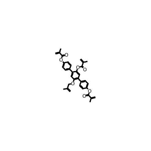 C=C(C)COc1cc(-c2ccc(OC(=O)C(=C)C)cc2)c(OC(=O)C(=C)C)cc1-c1ccc(OC(=O)C(=C)C)cc1